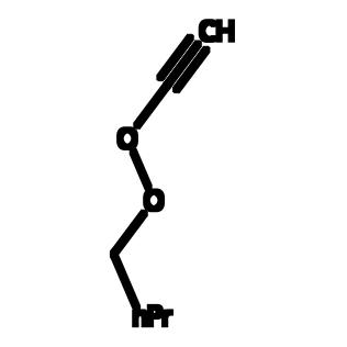 C#COOCCCC